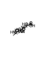 Cc1cc2c(F)c(Oc3ncnn4cc(OC[C@@H](O)CCI(C)(=O)O)c(C)c34)ccc2[nH]1